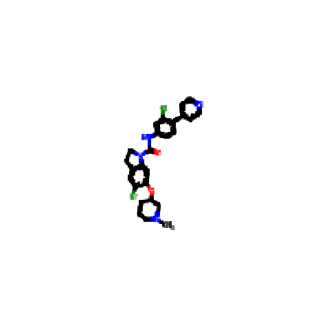 CN1CCCC(Oc2cc3c(cc2Br)CCN3C(=O)Nc2ccc(-c3ccncc3)c(Cl)c2)C1